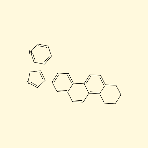 C1=CCN=C1.c1ccc2c(c1)ccc1c3c(ccc12)CCCC3.c1ccncc1